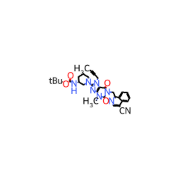 CC#CCn1c(N2CCC[C@@H](NC(=O)OC(C)(C)C)C2)nc2c1c(=O)n(Cc1ncc(C#N)c3ccccc13)c(=O)n2C